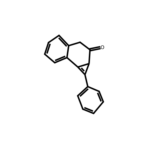 O=C1Cc2ccccc2C2=C(c3ccccc3)C12